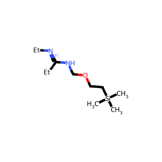 CC/N=C(\CC)NCOCC[Si](C)(C)C